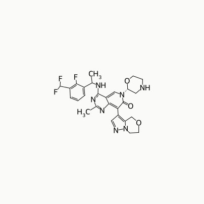 Cc1nc(NC(C)c2cccc(C(F)F)c2F)c2cn([C@H]3CNCCO3)c(=O)c(-c3cnn4c3COCC4)c2n1